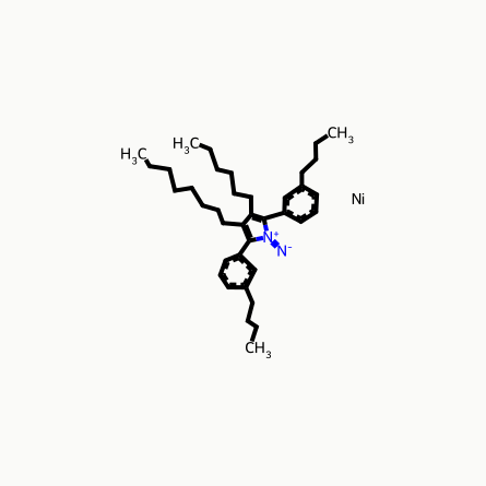 CCCCCCCCC1=C(c2cccc(CCCC)c2)[N+](=[N-])C(c2cccc(CCCC)c2)=C1CCCCCC.[Ni]